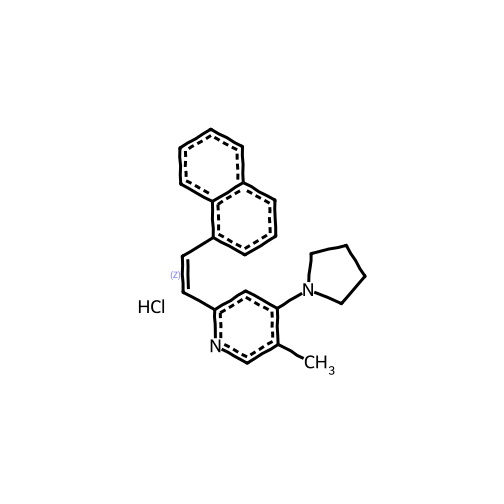 Cc1cnc(/C=C\c2cccc3ccccc23)cc1N1CCCC1.Cl